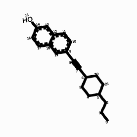 CCCC1CCC(C#Cc2ccc3cc(O)ccc3c2)CC1